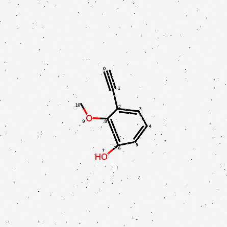 C#Cc1cccc(O)c1OC